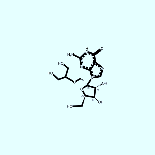 Nc1nc2c(ncn2[C@]2(COC(CO)CO)O[C@H](CO)[C@@H](O)[C@H]2O)c(=O)[nH]1